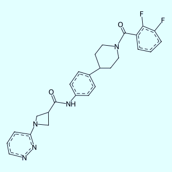 O=C(Nc1ccc(C2CCN(C(=O)c3cccc(F)c3F)CC2)cc1)C1CN(c2cccnn2)C1